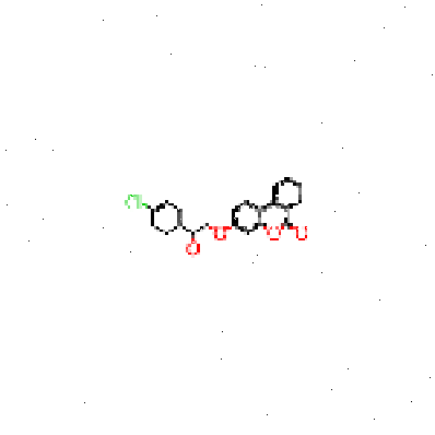 O=C(COc1ccc2c(c1)oc(=O)c1ccccc12)C1=CC=C(Cl)CC1